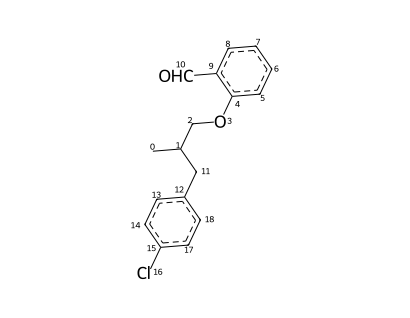 CC(COc1ccccc1C=O)Cc1ccc(Cl)cc1